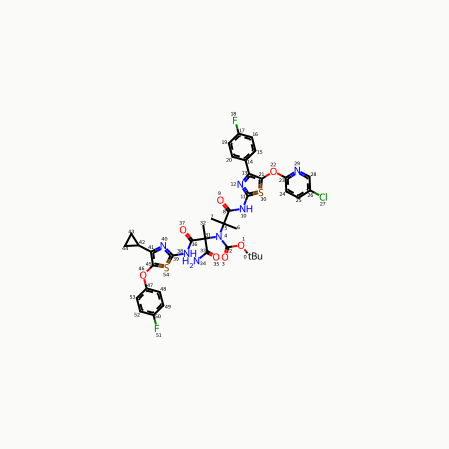 CC(C)(C)OC(=O)N(C(C)(C)C(=O)Nc1nc(-c2ccc(F)cc2)c(Oc2ccc(Cl)cn2)s1)C(C)(C(N)=O)C(=O)Nc1nc(C2CC2)c(Oc2ccc(F)cc2)s1